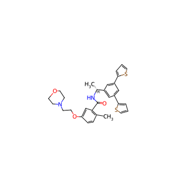 Cc1ccc(OCCN2CCOCC2)cc1C(=O)N[C@H](C)c1cc(-c2cccs2)cc(-c2cccs2)c1